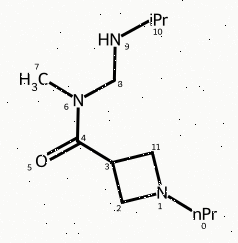 CCCN1CC(C(=O)N(C)CNC(C)C)C1